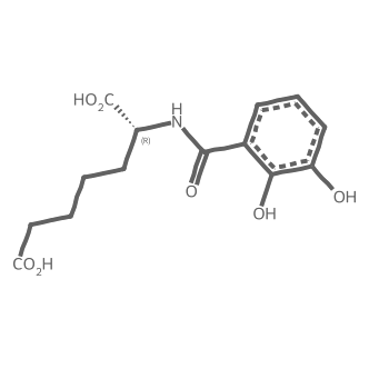 O=C(O)CCCC[C@@H](NC(=O)c1cccc(O)c1O)C(=O)O